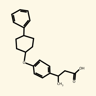 CC(CC(=O)O)c1ccc(OC2CCC(c3ccccc3)CC2)cc1